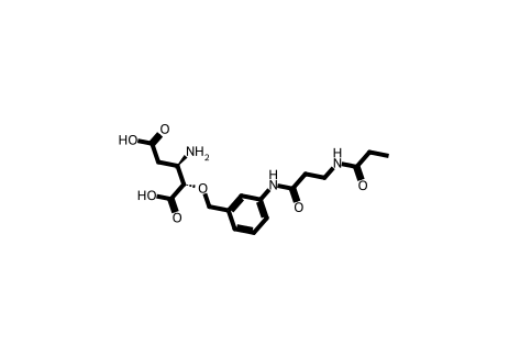 CCC(=O)NCCC(=O)Nc1cccc(CO[C@H](C(=O)O)[C@H](N)CC(=O)O)c1